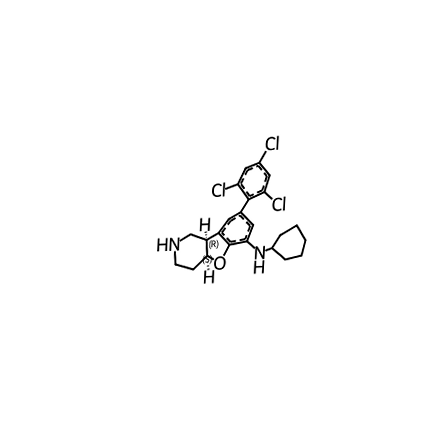 Clc1cc(Cl)c(-c2cc(NC3CCCCC3)c3c(c2)[C@@H]2CNCC[C@@H]2O3)c(Cl)c1